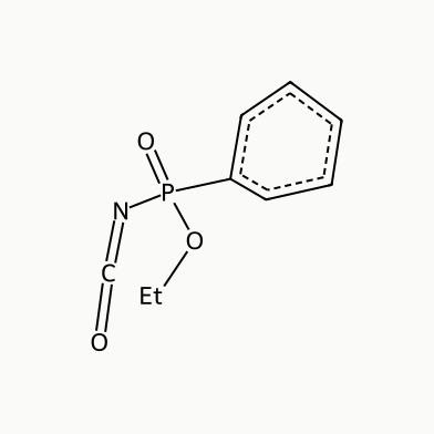 CCOP(=O)(N=C=O)c1ccccc1